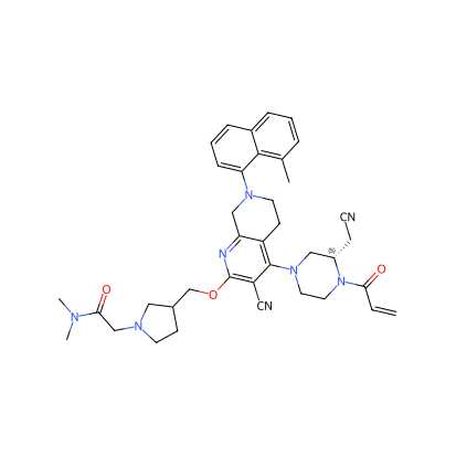 C=CC(=O)N1CCN(c2c(C#N)c(OCC3CCN(CC(=O)N(C)C)C3)nc3c2CCN(c2cccc4cccc(C)c24)C3)C[C@@H]1CC#N